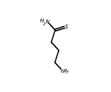 CCCCCCC(N)=S